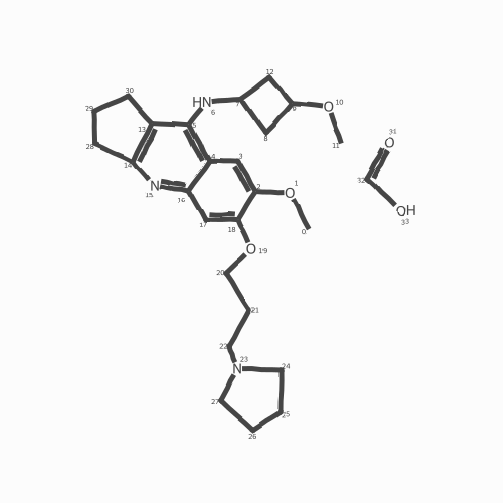 COc1cc2c(NC3CC(OC)C3)c3c(nc2cc1OCCCN1CCCC1)CCC3.O=CO